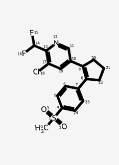 CS(=O)(=O)c1ccc(C2=C(c3cnc(C(F)F)c(Cl)c3)CCC2)cc1